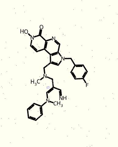 CN(C/C(C=N)=C/N(C)c1ccccc1)Cc1cn(Cc2ccc(F)cc2)c2cnc3c(=O)n(O)ccc3c12